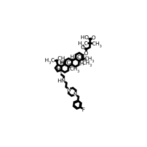 C=C(C)C1CC[C@]2(CCNCCN3CCN(Cc4cccc(F)c4)CC3)CC[C@]3(C)[C@H](CC[C@@H]4[C@@]5(C)CC[C@H](OC(=O)CC(C)(C)C(=O)O)C(C)(C)[C@@H]5CC[C@]43C)[C@@H]12